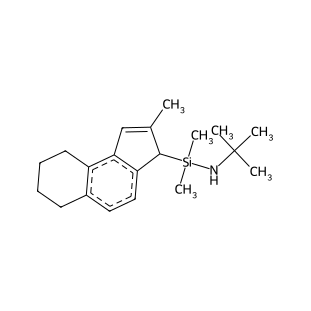 CC1=Cc2c(ccc3c2CCCC3)C1[Si](C)(C)NC(C)(C)C